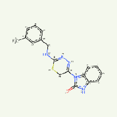 O=c1[nH]c2ccccc2n1C1=NN=C(NCc2cccc(C(F)(F)F)c2)SC1